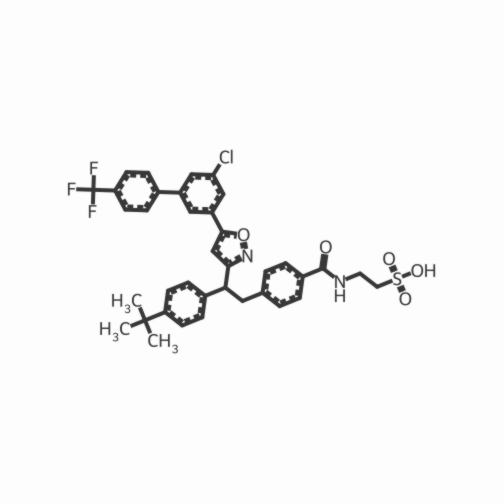 CC(C)(C)c1ccc(C(Cc2ccc(C(=O)NCCS(=O)(=O)O)cc2)c2cc(-c3cc(Cl)cc(-c4ccc(C(F)(F)F)cc4)c3)on2)cc1